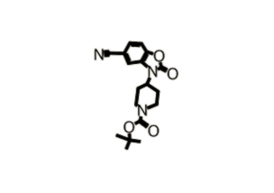 CC(C)(C)OC(=O)N1CCC(n2c(=O)oc3ccc(C#N)cc32)CC1